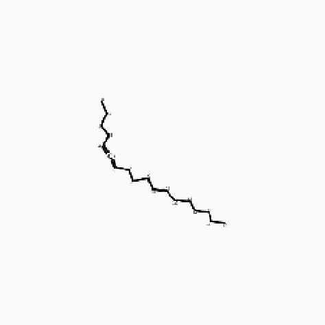 CCCCC=C=CCCCCCCCCCCC